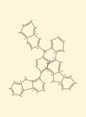 c1ccc(N(c2ccc(-c3cccc4c3oc3ccccc34)cc2)c2ccc3ccccc3c2)c(-c2ccc3sc4ccccc4c3c2)c1